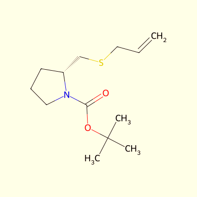 C=CCSC[C@H]1CCCN1C(=O)OC(C)(C)C